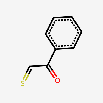 O=C(C=S)c1ccccc1